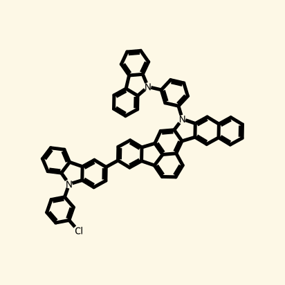 Clc1cccc(-n2c3ccccc3c3cc(-c4ccc5c(c4)-c4cccc6c4c-5cc4c6c5cc6ccccc6cc5n4-c4cccc(-n5c6ccccc6c6ccccc65)c4)ccc32)c1